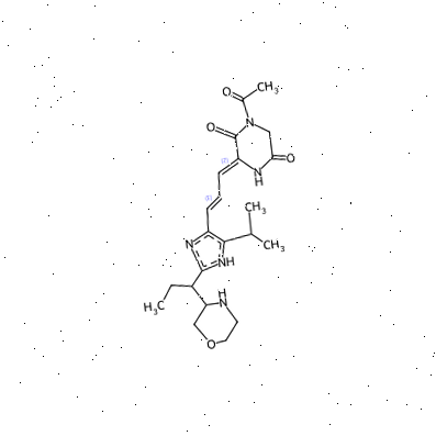 CCC(c1nc(/C=C/C=C2\NC(=O)CN(C(C)=O)C2=O)c(C(C)C)[nH]1)C1COCCN1